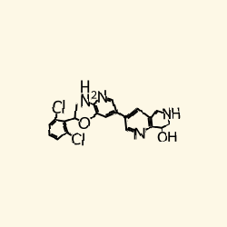 CC(Oc1cc(-c2cnc3c(c2)CNCC3O)cnc1N)c1c(Cl)cccc1Cl